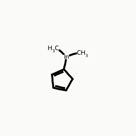 [CH3][In]([CH3])[C]1=CC=CC1